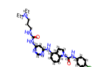 CCN(CC)CCCNC(=O)Nc1cc(Nc2cccc3c2ccn3C(=O)Nc2ccc(F)cc2)ncn1